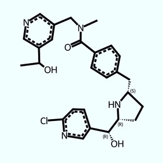 CC(O)c1cncc(CN(C)C(=O)c2ccc(C[C@@H]3CC[C@H]([C@H](O)c4ccc(Cl)nc4)N3)cc2)c1